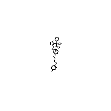 O=C(O[C@H]1C[N+]2(CCCOc3ccc(F)cc3)CCC1CC2)[C@@](O)(c1cccs1)C1CCCC1